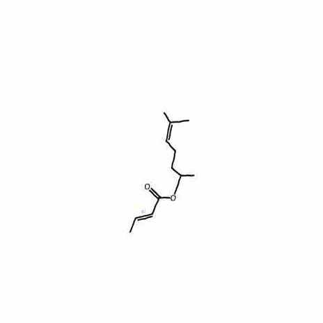 C/C=C/C(=O)OC(C)CCC=C(C)C